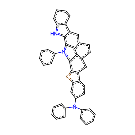 c1ccc(N(c2ccccc2)c2ccc3c(c2)sc2c3cc3ccc4cc5c6ccccc6[nH]c5c5c4c3c2n5-c2ccccc2)cc1